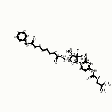 CC(C)COC(=O)Nc1ccn([C@@H]2O[C@H](COC(=O)CCCCCCC(=O)Nc3ccccc3)[C@@H](O)C2(F)F)c(=O)n1